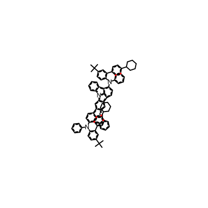 CC(C)(C)c1ccc(N(c2ccccc2)c2ccc3c4cc5c(cc4n4c6ccccc6c2c34)c2ccc(N(c3ccccc3)c3ccc(C(C)(C)C)cc3-c3ccc(C4CCCCC4)cc3)c3c4ccccc4n5c23)c(-c2ccc(C3CCCCC3)cc2)c1